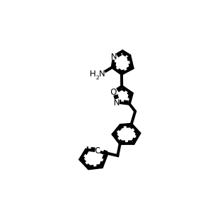 Nc1ncccc1-c1cc(Cc2ccc(Cc3ccccc3)cc2)no1